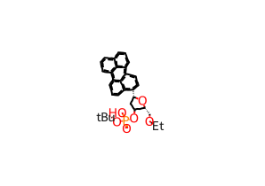 CCOC[C@H]1O[C@@H](c2ccc3c4cccc5cccc(c6cccc2c63)c54)CC1OP(=O)(O)OC(C)(C)C